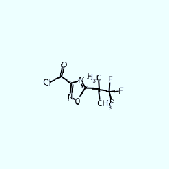 CC(C)(c1nc(C(=O)Cl)no1)C(F)(F)F